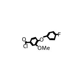 COc1cc(C(=O)Cl)ccc1OCc1ccc(F)cc1